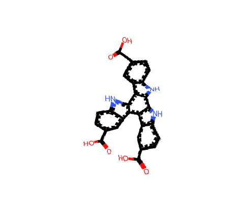 O=C(O)c1ccc2[nH]c3c4[nH]c5ccc(C(=O)O)cc5c4c4c5cc(C(=O)O)ccc5[nH]c4c3c2c1